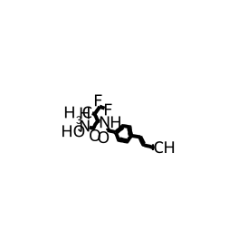 C#C/C=C/c1ccc(C(=O)NC(C(=O)NO)C(C)C(F)F)cc1